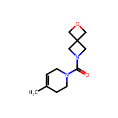 CC1=CCN(C(=O)N2CC3(COC3)C2)CC1